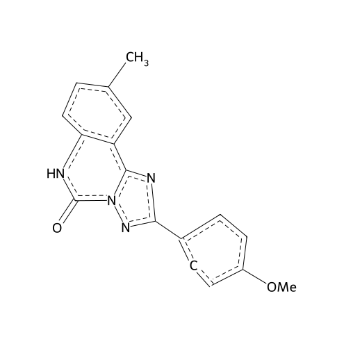 COc1ccc(-c2nc3c4cc(C)ccc4[nH]c(=O)n3n2)cc1